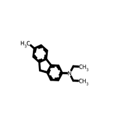 CCN(CC)c1ccc2c(c1)-c1ccc(C)cc1C2